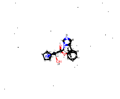 CC(C)(C)OC(=O)N1CC2CCC(C1)C21C[C@H]([C@H]2c3ccccc3-c3cncn32)[C@H]1O